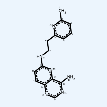 Cc1cccc(CCNc2ccc3ncnc(N)c3n2)n1